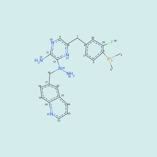 CP(C)c1ccc(Cc2cnc(N)c(N(N)Cc3ccc4ncccc4c3)n2)cc1F